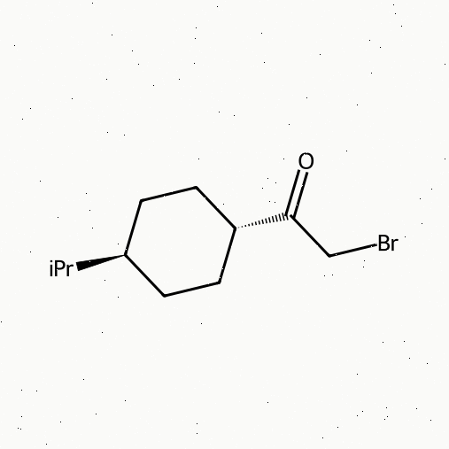 CC(C)[C@H]1CC[C@H](C(=O)CBr)CC1